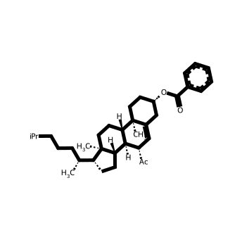 CC(=O)[C@H]1C=C2C[C@@H](OC(=O)c3ccccc3)CC[C@]2(C)[C@H]2CC[C@]3(C)[C@@H]([C@H](C)CCCC(C)C)CC[C@H]3[C@H]12